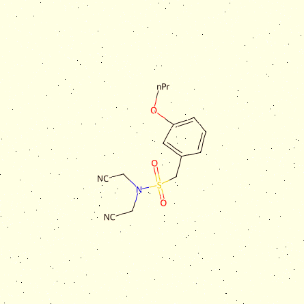 CCCOc1cccc(CS(=O)(=O)N(CC#N)CC#N)c1